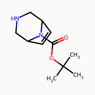 CC(C)(C)OC(=O)N1C2C=CC1CNC2